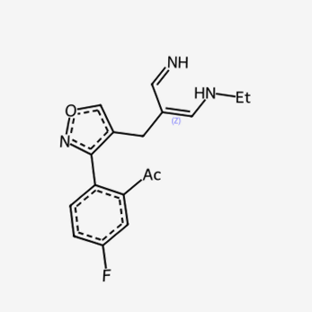 CCN/C=C(\C=N)Cc1conc1-c1ccc(F)cc1C(C)=O